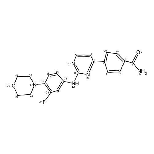 NC(=O)c1ccc(-c2ccnc(Nc3ccc(N4CCOCC4)c(F)c3)n2)cc1